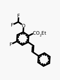 CCOC(=O)c1c(/C=C/c2ccccc2)cc(F)cc1OC(F)F